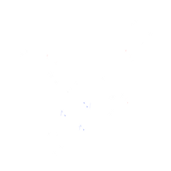 c1ccc(C2=NC(c3cccc4oc5c(-c6cccc7c6oc6ccccc67)cccc5c34)NC(c3ccc4oc5ccccc5c4c3)=N2)cc1